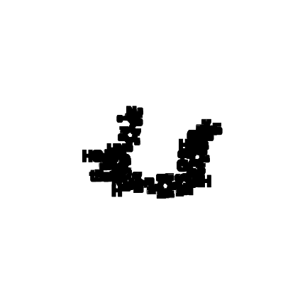 Cc1ncsc1-c1ccc(CNC(=O)[C@@H]2C[C@@H](O)CN2C(=O)[C@@H](NC(=O)CN2CC(CCc3ccc(-c4cnc5[nH]cc(C(=O)c6c(F)ccc(NS(=O)(=O)N7CC[C@@H](F)C7)c6F)c5c4)cc3)C2)C(C)(C)C)cc1